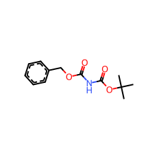 CC(C)(C)OC(=O)NC(=O)OCc1ccccc1